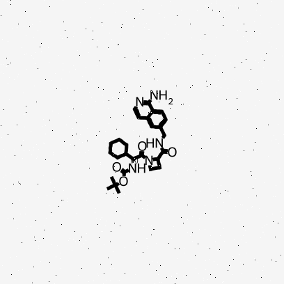 CC(C)(C)OC(=O)N[C@@H](C(=O)N1CCC1C(=O)NCc1ccc2c(N)nccc2c1)C1CCCCC1